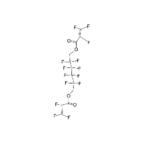 O=C(OCC(F)(F)C(F)(F)C(F)(F)C(F)(F)COC(=O)C(F)=C(F)F)C(F)=C(F)F